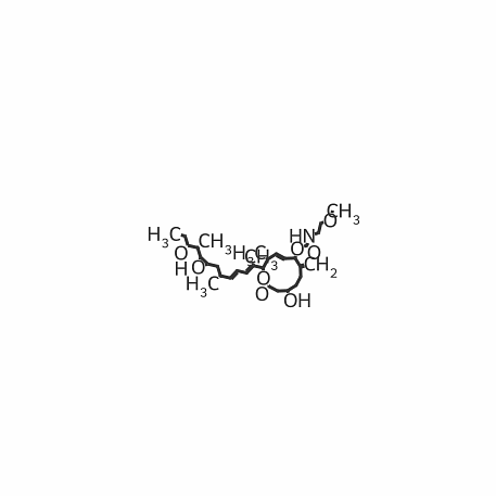 C=C1CCC(O)CC(=O)OC(/C(C)=C/C=C/C(C)CC2OC2C(C)C(O)CC)C(C)/C=C/C1OC(=O)NCCOC